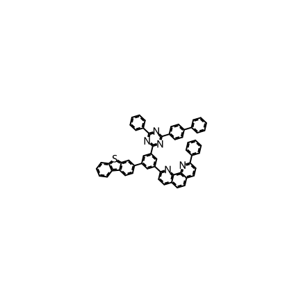 c1ccc(-c2ccc(-c3nc(-c4ccccc4)nc(-c4cc(-c5ccc6c(c5)sc5ccccc56)cc(-c5ccc6ccc7ccc(-c8ccccc8)nc7c6n5)c4)n3)cc2)cc1